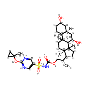 C[C@H](COC(=O)NS(=O)(=O)c1cnc(OC2(C)CC2)nc1)[C@H]1CC[C@H]2[C@@H]3[C@H](O)C[C@@H]4C[C@H](O)CC[C@]4(C)[C@H]3CC[C@]12C